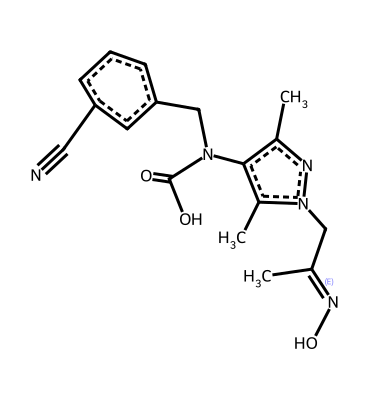 C/C(Cn1nc(C)c(N(Cc2cccc(C#N)c2)C(=O)O)c1C)=N\O